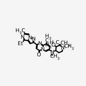 CCc1nc(C)cn2nc(-c3cc(=O)n4cc(N(C)C5CCN(C)C(C)(C)C5C)cc(C)c4n3)cc12